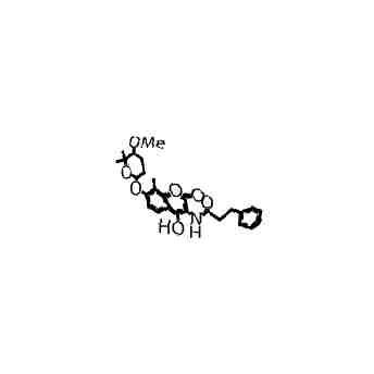 COC1CCC(Oc2ccc3c(O)c(NC(=O)CCc4ccccc4)c(=O)oc3c2C)OC1(C)C